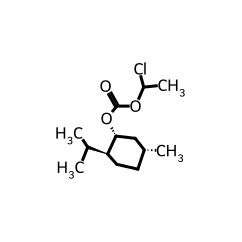 CC(Cl)OC(=O)O[C@@H]1C[C@H](C)CC[C@H]1C(C)C